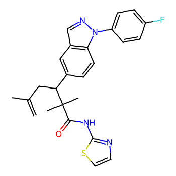 C=C(C)CC(c1ccc2c(cnn2-c2ccc(F)cc2)c1)C(C)(C)C(=O)Nc1nccs1